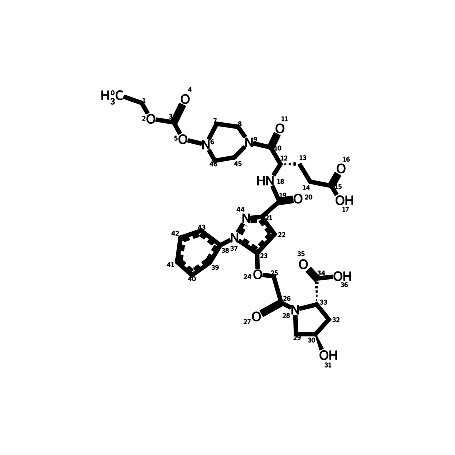 CCOC(=O)ON1CCN(C(=O)[C@H](CCC(=O)O)NC(=O)c2cc(OCC(=O)N3C[C@H](O)C[C@H]3C(=O)O)n(-c3ccccc3)n2)CC1